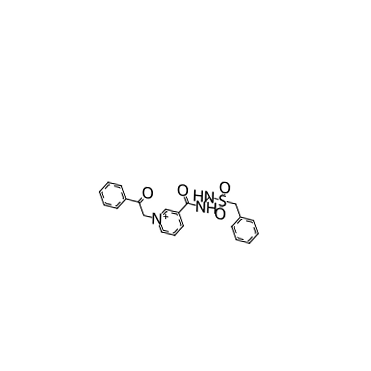 O=C(C[n+]1cccc(C(=O)NNS(=O)(=O)Cc2ccccc2)c1)c1ccccc1